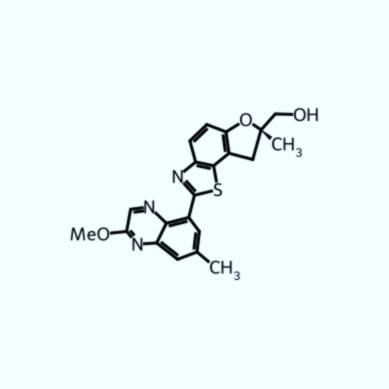 COc1cnc2c(-c3nc4ccc5c(c4s3)C[C@@](C)(CO)O5)cc(C)cc2n1